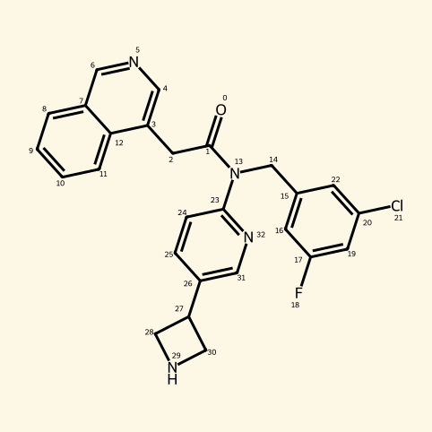 O=C(Cc1cncc2ccccc12)N(Cc1cc(F)cc(Cl)c1)c1ccc(C2CNC2)cn1